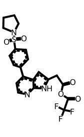 O=C(Cc1cc2c(-c3ccc(S(=O)(=O)N4CCCC4)cc3)ccnc2[nH]1)OC(=O)C(F)(F)F